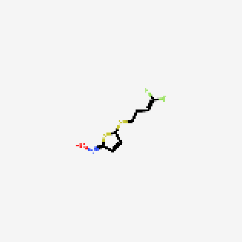 ON=C1C=CC(SCCC=C(F)F)S1